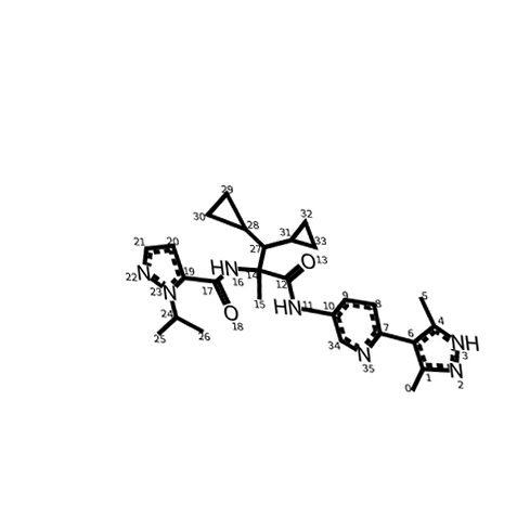 Cc1n[nH]c(C)c1-c1ccc(NC(=O)C(C)(NC(=O)c2ccnn2C(C)C)C(C2CC2)C2CC2)cn1